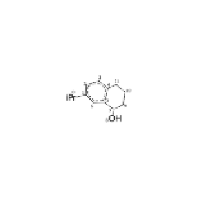 CC(C)c1ccc2c(c1)C(O)CCC2